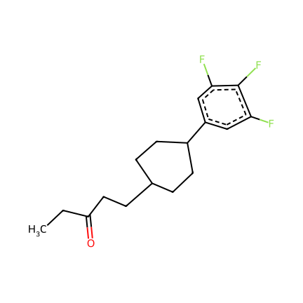 CCC(=O)CCC1CCC(c2cc(F)c(F)c(F)c2)CC1